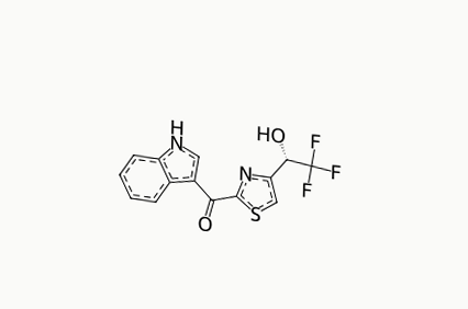 O=C(c1nc([C@H](O)C(F)(F)F)cs1)c1c[nH]c2ccccc12